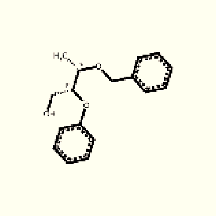 C[C@H](OCc1ccccc1)[C@@H](CO)Oc1ccccc1